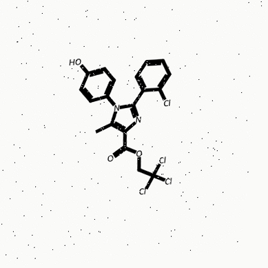 Cc1c(C(=O)OCC(Cl)(Cl)Cl)nc(-c2ccccc2Cl)n1-c1ccc(O)cc1